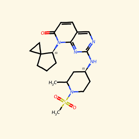 CC1C[C@@H](Nc2ncc3ccc(=O)n([C@H]4CCCC45CC5)c3n2)CCN1S(C)(=O)=O